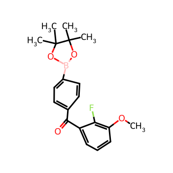 COc1cccc(C(=O)c2ccc(B3OC(C)(C)C(C)(C)O3)cc2)c1F